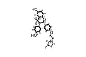 C[C@@H]1CCN(CCOc2ccc([C@@H]3Oc4ccc(O)cc4C(C)(C)[C@@H]3c3ccc(O)cc3)cc2)C1